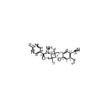 CCc1cc(O[C@H]2C(C)(C)[C@H](N(N)C(=O)c3cnc(C)nc3)C2(C)C)ccc1C#N